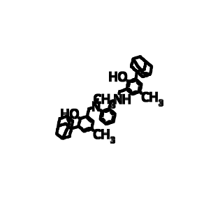 CC1=CC(C23CC4CC(CC(C4)C2)C3)C(O)C(CN(C)c2ccccc2CNCc2cc(C)cc(C34CC5CC(CC(C5)C3)C4)c2O)=C1